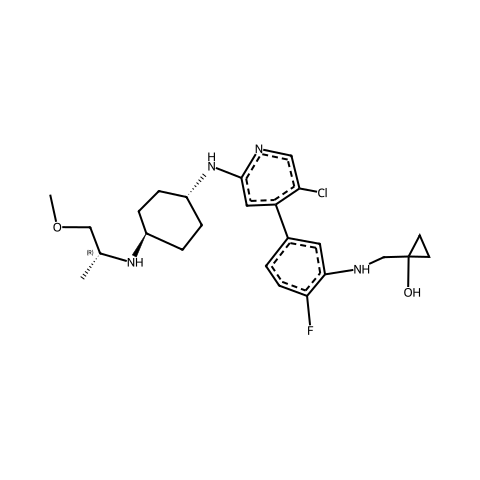 COC[C@@H](C)N[C@H]1CC[C@H](Nc2cc(-c3ccc(F)c(NCC4(O)CC4)c3)c(Cl)cn2)CC1